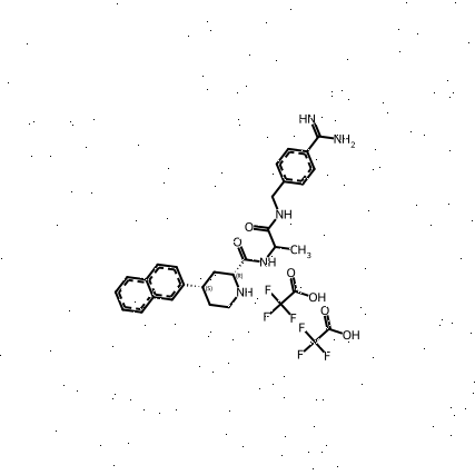 CC(NC(=O)[C@H]1C[C@@H](c2ccc3ccccc3c2)CCN1)C(=O)NCc1ccc(C(=N)N)cc1.O=C(O)C(F)(F)F.O=C(O)C(F)(F)F